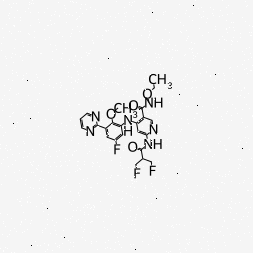 CCONC(=O)c1cnc(NC(=O)C(CF)CF)cc1Nc1cc(F)cc(-c2ncccn2)c1OC